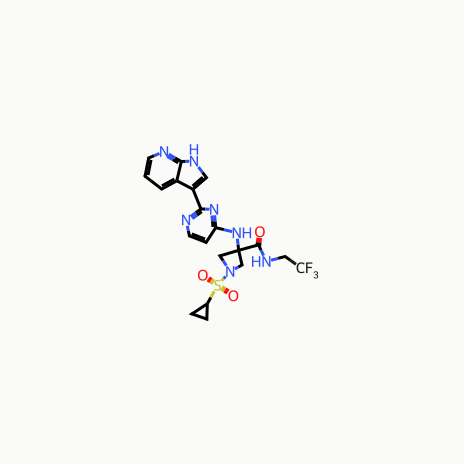 O=C(NCC(F)(F)F)C1(Nc2ccnc(-c3c[nH]c4ncccc34)n2)CN(S(=O)(=O)C2CC2)C1